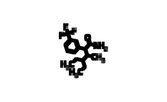 CCC(CC)C(C)C(C(N)=O)c1cccc(C(F)(F)F)c1